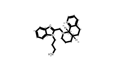 NCCCn1c(CN2CCC[C@H]3CCc4cccnc4[C@H]32)nc2ccccc21